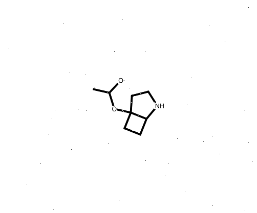 CC([O])OC12CCNC1CC2